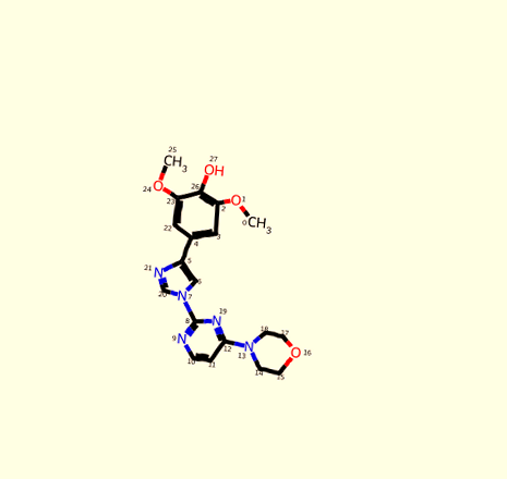 COc1cc(-c2cn(-c3nccc(N4CCOCC4)n3)cn2)cc(OC)c1O